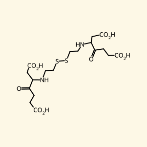 O=C(O)CCC(=O)C(CC(=O)O)NCCSSCCNC(CC(=O)O)C(=O)CCC(=O)O